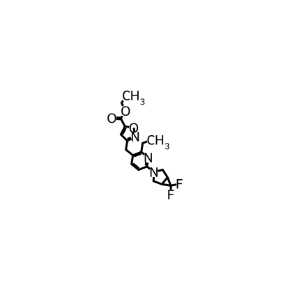 CCOC(=O)c1cc(Cc2ccc(N3CC4C(C3)C4(F)F)nc2CC)no1